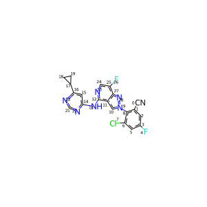 N#Cc1cc(F)cc(Cl)c1-n1cc2c(Nc3cc(C4CC4)ncn3)ncc(F)c2n1